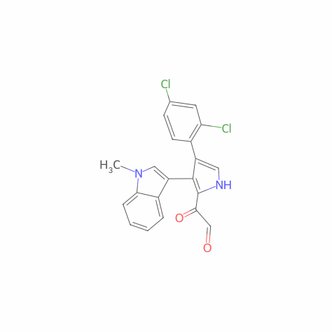 Cn1cc(-c2c(-c3ccc(Cl)cc3Cl)c[nH]c2C(=O)C=O)c2ccccc21